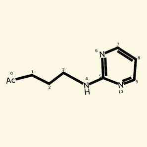 CC(=O)CCCNc1ncccn1